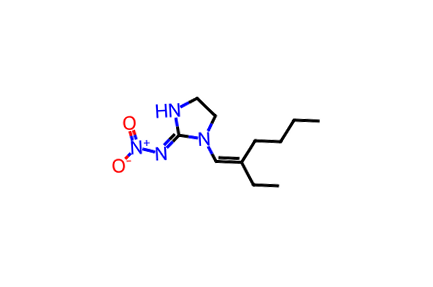 CCCCC(=CN1CCNC1=N[N+](=O)[O-])CC